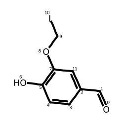 O=Cc1ccc(O)c(OCI)c1